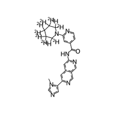 [2H]C1([2H])N(c2cc(C(=O)Nc3cc4cc(-c5cncn5C)ncc4cn3)ccn2)C([2H])([2H])C([2H])([2H])C([2H])([2H])C1([2H])[2H]